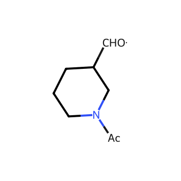 CC(=O)N1CCCC([C]=O)C1